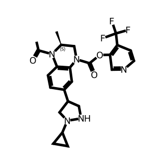 CC(=O)N1c2ccc(C3CNN(C4CC4)C3)cc2N(C(=O)Oc2cnccc2C(F)(F)F)C[C@@H]1C